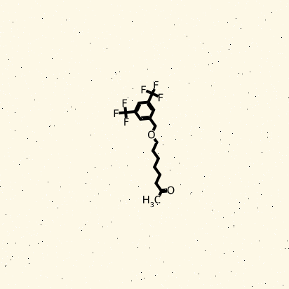 CC(=O)CCCCCCOCc1cc(C(F)(F)F)cc(C(F)(F)F)c1